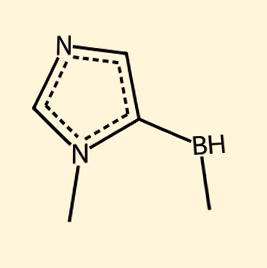 CBc1cncn1C